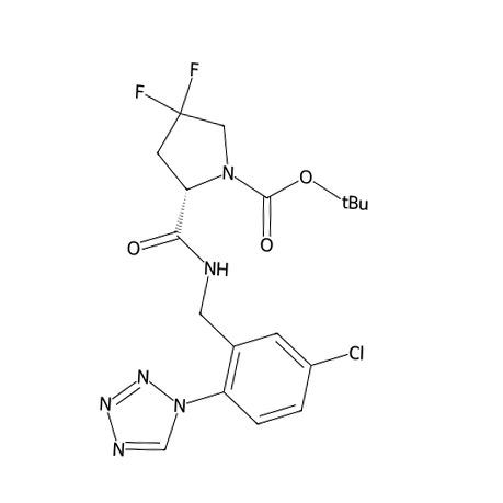 CC(C)(C)OC(=O)N1CC(F)(F)C[C@H]1C(=O)NCc1cc(Cl)ccc1-n1cnnn1